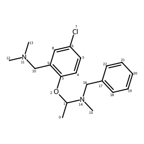 CC(Oc1ccc(Cl)cc1CN(C)C)N(C)Cc1ccccc1